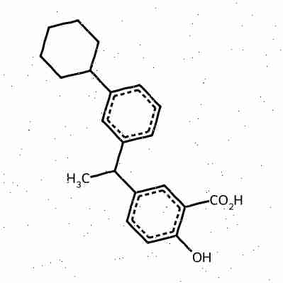 CC(c1cccc(C2CCCCC2)c1)c1ccc(O)c(C(=O)O)c1